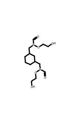 O=CN(CC1CCCC(CN(C=O)OCCO)C1)OCCO